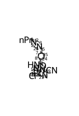 CCCN1CCN(Cc2ccc(C(=O)NN(CC(C)C)c3nc(C#N)ncc3Cl)cc2)CC1